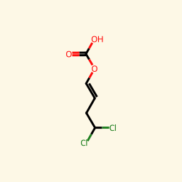 O=C(O)OC=CCC(Cl)Cl